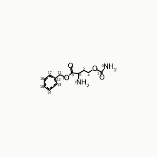 NC(=O)OCCC(N)C(=O)OCc1ccccc1